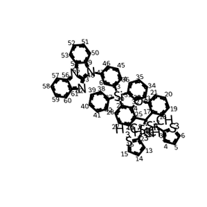 C[Si](C)(c1cccs1)C1([Si](C)(C)c2cccs2)c2ccccc2Oc2c1cccc2[Si](c1ccccc1)(c1ccccc1)c1cccc(-n2c3ccccc3n3c4ccccc4nc23)c1